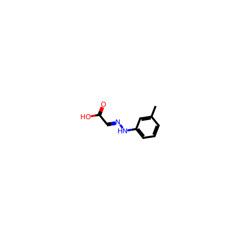 Cc1cccc(NN=CC(=O)O)c1